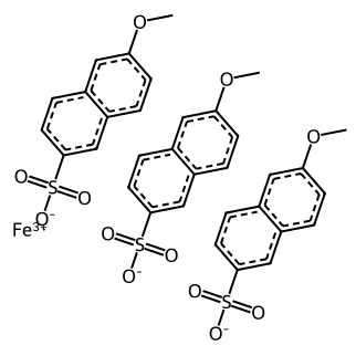 COc1ccc2cc(S(=O)(=O)[O-])ccc2c1.COc1ccc2cc(S(=O)(=O)[O-])ccc2c1.COc1ccc2cc(S(=O)(=O)[O-])ccc2c1.[Fe+3]